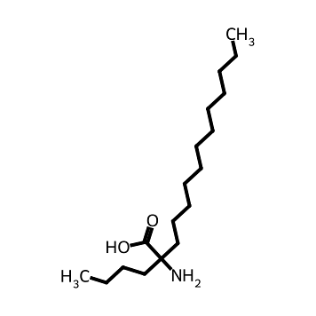 CCCCCCCCCCCCC(N)(CCCC)C(=O)O